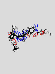 COCC(=O)N[C@H]1CC[C@H](NC(=O)c2c(C)[nH]c3c(-c4cc(C(C)=O)ccc4OCC4CC4)ncnc23)CC1